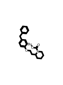 CC(C)(C)OC(=O)N1CCCCC1CCOc1ccc(Cc2ccccc2)cc1